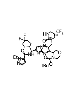 CCn1nccc1C(=O)N[C@H](c1cn2nc(C[C@H]3C[C@@H](C(F)(F)F)CNC3=O)c(C3COCCN3C(=O)OC(C)(C)C)nc2n1)C1CCC(F)(F)CC1